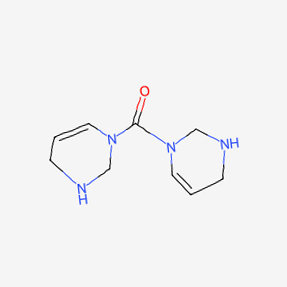 O=C(N1C=CCNC1)N1C=CCNC1